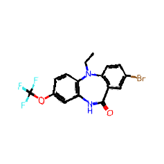 CCN1c2ccc(OC(F)(F)F)cc2NC(=O)c2cc(Br)ccc21